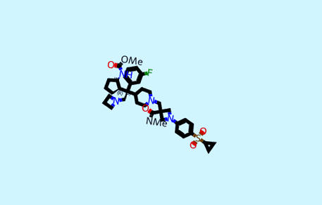 CNC(=O)C1(CN2CCC([C@@](CN3CCC3)(c3cccc(F)c3)[C@H]3CCC[C@@H]3NC(=O)OC)CC2)CN(c2ccc(S(=O)(=O)C3CC3)cc2)C1